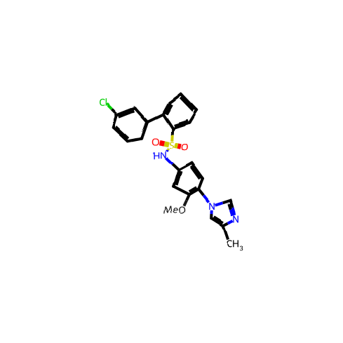 COc1cc(NS(=O)(=O)c2ccccc2C2C=C(Cl)C=CC2)ccc1-n1cnc(C)c1